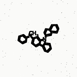 CN(c1ccccc1)c1ccc2c3ccccc3n(-c3ccc4ccccc4c3)c2c1